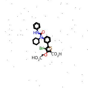 O=C(O)COc1c(C(=O)O)sc(-c2cccc(N(C(=O)Nc3ccccc3)C3CCCCC3)c2)c1Br